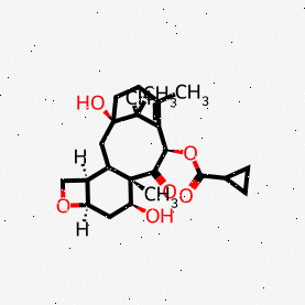 CC1=C2[C@@H](OC(=O)C3CC3)C(=O)[C@@]3(C)C(C[C@](O)(CC1)C2(C)C)[C@@H]1CO[C@@H]1C[C@@H]3O